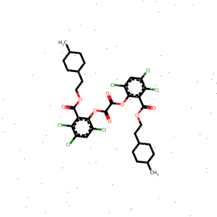 CC1CCC(CCOC(=O)c2c(Cl)c(Cl)cc(Cl)c2OC(=O)C(=O)Oc2c(Cl)cc(Cl)c(Cl)c2C(=O)OCCC2CCC(C)CC2)CC1